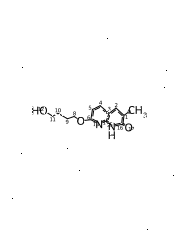 Cc1cc2ccc(OCCCCO)nc2[nH]c1=O